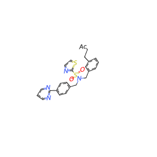 CC(=O)CCc1cccc(CN(Cc2ccc(-c3ncccn3)cc2)S(=O)(=O)c2nccs2)c1